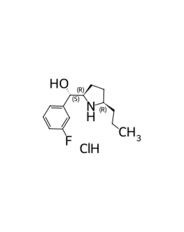 CCC[C@@H]1CC[C@H]([C@@H](O)c2cccc(F)c2)N1.Cl